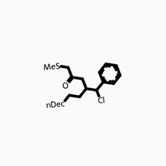 CCCCCCCCCCCCC(CC(=O)CSC)C(Cl)c1ccccc1